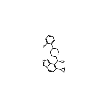 O[C@@H](c1c(C2CC2)ccn2cncc12)[C@H]1CC[C@H](c2ccccc2F)CC1